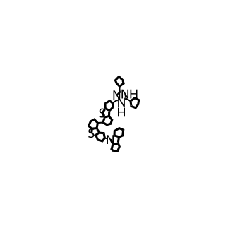 c1ccc(C2N=C(c3ccc4sc5c(-c6cccc7sc8ccc(-n9c%10ccccc%10c%10ccccc%109)cc8c67)cccc5c4c3)NC(c3ccccc3)N2)cc1